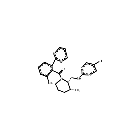 Cc1cccc(-c2ncccn2)c1C(=O)N1CCC[C@@H](C)[C@H]1CNc1ncc(Cl)cn1